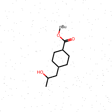 CCCCOC(=O)C1CCC(CC(C)O)CC1